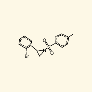 Cc1ccc(S(=O)(=O)N2CC2c2ccccc2Br)cc1